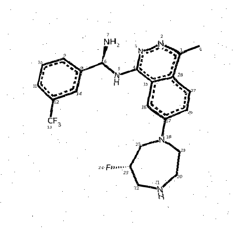 Cc1nnc(N[C@H](N)c2cccc(C(F)(F)F)c2)c2cc(N3CCNC[C@H](F)C3)ccc12